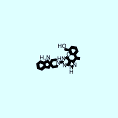 C=C(c1cccc(CO)c1)c1n[nH]c2nc(N3CCC4(CC3)Cc3ccccc3[C@H]4N)[nH]c(=O)c12